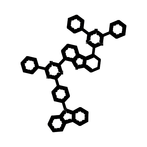 C1=c2sc3c(-c4nc(-c5ccccc5)nc(-c5ccc(-n6c7ccccc7c7ccccc76)cc5)n4)cccc3c2=C(c2nc(-c3ccccc3)nc(-c3ccccc3)n2)CC1